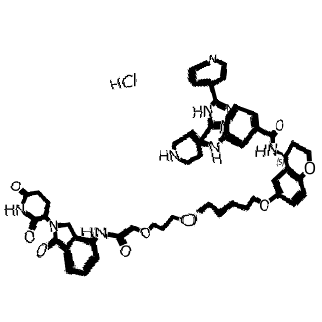 Cl.O=C1CCC(N2Cc3c(NC(=O)COCCCOCCCCCOc4ccc5c(c4)[C@@H](NC(=O)c4cccc(NC6(c7nnc(-c8ccncc8)[nH]7)CCNCC6)c4)CCO5)cccc3C2=O)C(=O)N1